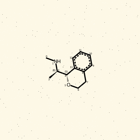 CN[C@H](C)[C@H]1OCCc2ccccc21